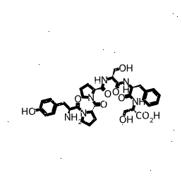 N[C@@H](Cc1ccc(O)cc1)C(=O)N1CCC[C@H]1C(=O)N1CCC[C@H]1C(=O)N[C@@H](CO)C(=O)N[C@@H](Cc1ccccc1)C(=O)N[C@@H](CO)C(=O)O